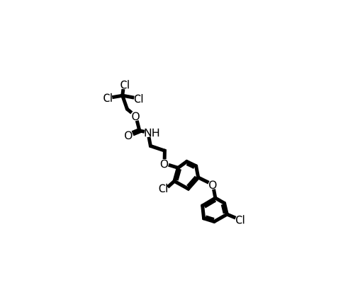 O=C(NCCOc1ccc(Oc2cccc(Cl)c2)cc1Cl)OCC(Cl)(Cl)Cl